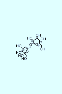 OC[C@H]1O[C@H](OC[C@H]2C[C@H](O)[C@@H](O)C(O)(CO)O2)[C@H](O)[C@@H](O)[C@H]1O